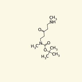 CNCCC(=O)CCN(C)C(=O)OC(C)(C)C